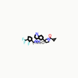 CO[C@]1(c2ccc3nccc(N[C@H](C)c4cccc(C(F)F)c4F)c3c2)CCN(C(=O)C2CC2)C1